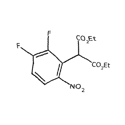 CCOC(=O)C(C(=O)OCC)c1c([N+](=O)[O-])ccc(F)c1F